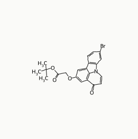 CC(C)(C)OC(=O)COc1cc2c(=O)ccn3c4cc(Br)ccc4c(c1)c23